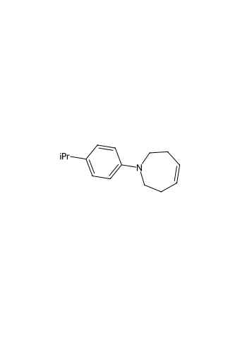 CC(C)c1ccc(N2CCC=CCC2)cc1